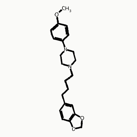 COc1ccc(N2CCN(CCCCc3ccc4c(c3)OCO4)CC2)cc1